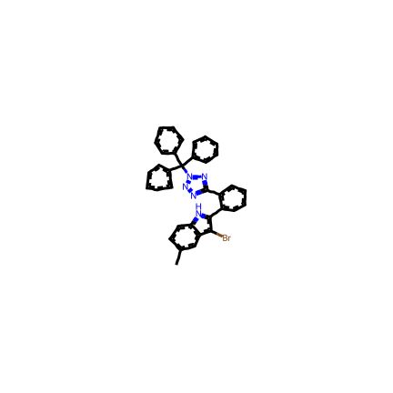 Cc1ccc2[nH]c(-c3ccccc3-c3nnn(C(c4ccccc4)(c4ccccc4)c4ccccc4)n3)c(Br)c2c1